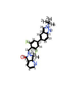 [2H]C1([2H])c2ncccc2C(=O)N1Cc1c(F)cc(-c2ccc3nn(C([2H])([2H])[2H])cc3c2)cc1F